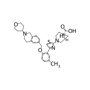 Cc1ccc(OCc2ccc3c(c2)CCN(C2CCOCC2)C3)c(-c2csc(N3CC[C@@]4(C(=O)O)C[C@H]4C3)n2)c1